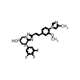 COc1cc(C=Cc2nc3n(n2)C[C@@H](O)C[C@@H]3c2cc(F)c(F)c(F)c2)ccc1-n1cnc(C)c1